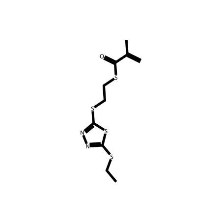 C=C(C)C(=O)SCCSc1nnc(SCC)s1